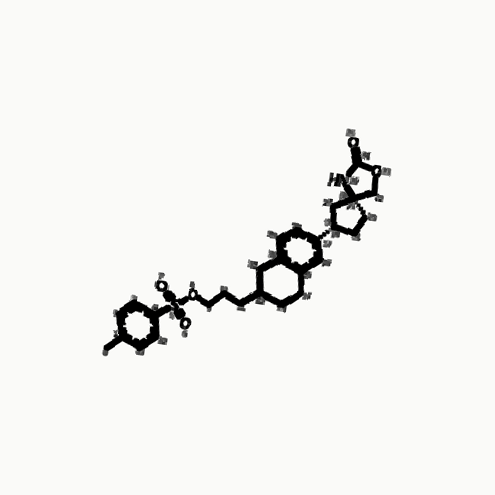 Cc1ccc(S(=O)(=O)OCCCC2CCc3cc([C@H]4CC[C@]5(COC(=O)N5)C4)ccc3C2)cc1